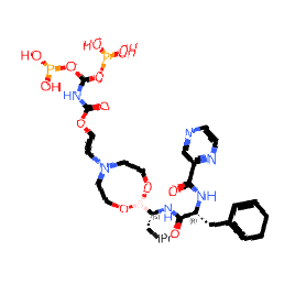 CC(C)C[C@@H](NC(=O)[C@@H](CC1=CCCC=C1)NC(=O)c1cnccn1)B1OCCN(CCOC(=O)NC(OP(O)O)OP(O)O)CCO1